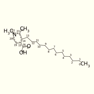 CCCCCCCCCCCCCCc1c(C(=O)O)cc[n+](C)c1C